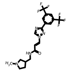 CN1CCC(CNC(=O)C=Cn2cnc(-c3cc(C(F)(F)F)cc(C(F)(F)F)c3)n2)C1